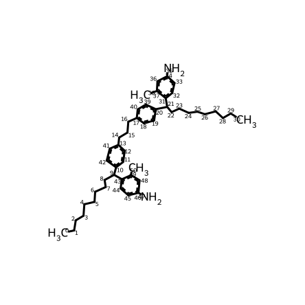 CCCCCCCCCC(c1ccc(CCCc2ccc(C(CCCCCCCCC)c3ccc(N)cc3C)cc2)cc1)c1ccc(N)cc1C